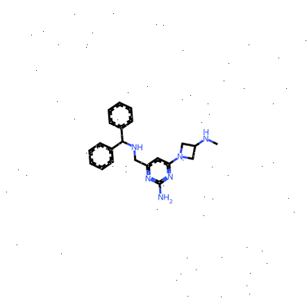 CNC1CN(c2cc(CNC(c3ccccc3)c3ccccc3)nc(N)n2)C1